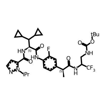 CC(C)n1nccc1C(=O)N[C@H](C(=O)Nc1ccc([C@H](C)C(=O)NC(CNC(=O)OC(C)(C)C)C(F)(F)F)cc1F)C(C1CC1)C1CC1